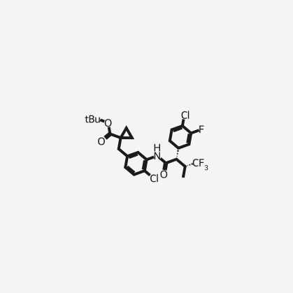 C[C@H]([C@H](C(=O)Nc1cc(CC2(C(=O)OC(C)(C)C)CC2)ccc1Cl)C1C=C(F)C(Cl)=CC1)C(F)(F)F